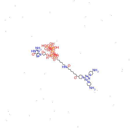 Nc1nc2c(ncn2[C@H]2CC(O)[C@@H](COP(=O)(O)OP(=O)(O)OP(=O)(O)OP(=O)(O)OP(=O)(O)OP(=O)(O)OCCCCCCNC(=O)CCCCCCC(=O)C3CCN(c4nc(N5CCC(N)CC5)nc(N5CCC(N)CC5)n4)CC3)O2)c(=O)[nH]1